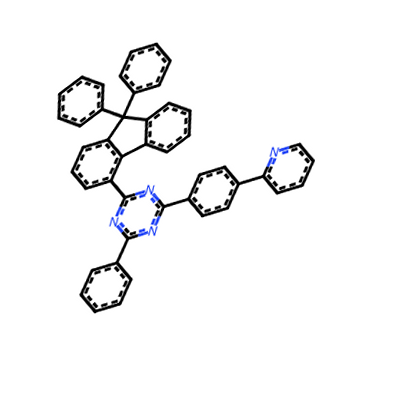 c1ccc(-c2nc(-c3ccc(-c4ccccn4)cc3)nc(-c3cccc4c3-c3ccccc3C4(c3ccccc3)c3ccccc3)n2)cc1